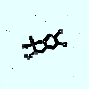 C[C@@H](Cc1ccc(Cl)c(Cl)c1)P(=S)(S)S